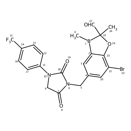 CB1c2cc(CN3C(=O)CN(c4ccc(C(F)(F)F)cc4)C3=O)cc(Br)c2OC1(C)C=O